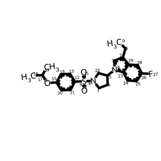 CCc1cn(C2CCN(S(=O)(=O)c3ccc(OC(C)C)cc3)C2)c2ccc(F)cc12